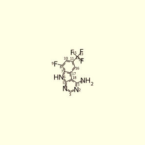 Nc1ncnc2[nH]c3c(F)cc(C(F)(F)F)cc3c12